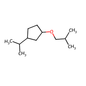 CC(C)COC1CCC(C(C)C)C1